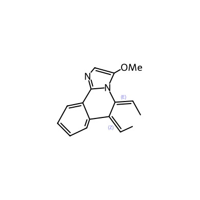 C/C=c1\c(=C/C)n2c(OC)cnc2c2ccccc12